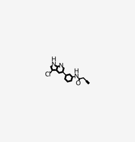 C#CCC(=O)Nc1cccc(-c2cnc3[nH]cc(Cl)c3c2)c1